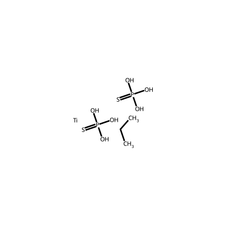 CCC.OP(O)(O)=S.OP(O)(O)=S.[Ti]